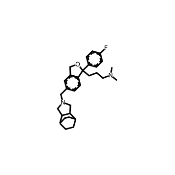 CN(C)CCCC1(c2ccc(F)cc2)OCc2cc(CN3CC4C5CCC(CC5)C4C3)ccc21